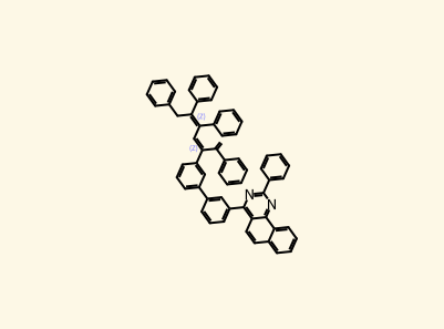 C=C(/C(=C\C(=C(/Cc1ccccc1)c1ccccc1)c1ccccc1)c1cccc(-c2cccc(-c3nc(-c4ccccc4)nc4c3ccc3ccccc34)c2)c1)c1ccccc1